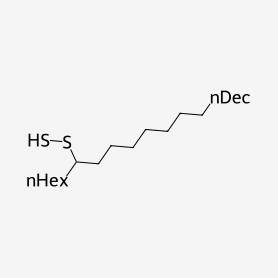 CCCCCCCCCCCCCCCCCC(CCCCCC)SS